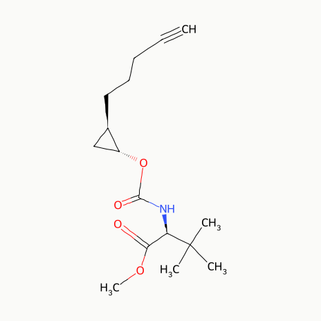 C#CCCC[C@@H]1C[C@H]1OC(=O)N[C@H](C(=O)OC)C(C)(C)C